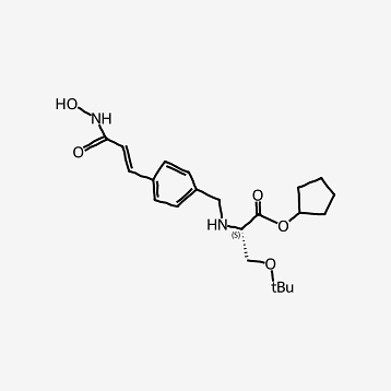 CC(C)(C)OC[C@H](NCc1ccc(C=CC(=O)NO)cc1)C(=O)OC1CCCC1